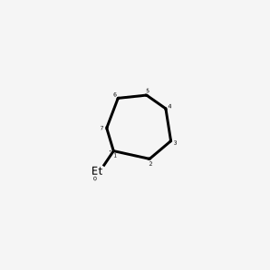 CC[C]1CCCCCC1